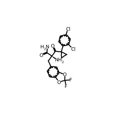 NC(=O)[C@@](N)(Cc1ccc2c(c1)OC(F)(F)O2)C(=O)C1(c2ccc(Cl)cc2Cl)CC1